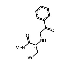 CNC(=O)[C@H](CC(C)C)NCC(=O)c1ccccc1